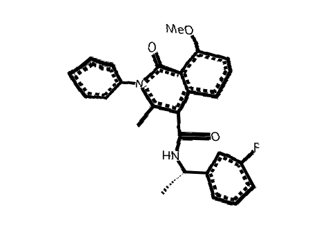 COc1cccc2c(C(=O)N[C@@H](C)c3cccc(F)c3)c(C)n(-c3ccccc3)c(=O)c12